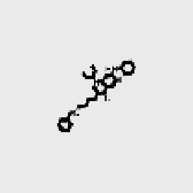 CCC(CC)n1cc(C=CCCOCc2ccccc2)c(=O)c2cc(F)c(NC3CCCCC3)cc21